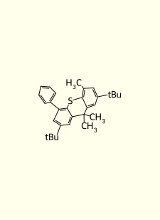 Cc1cc(C(C)(C)C)cc2c1Sc1c(-c3ccccc3)cc(C(C)(C)C)cc1C2(C)C